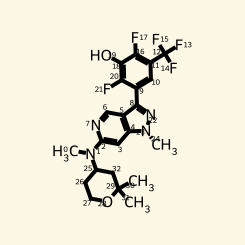 CN(c1cc2c(cn1)c(-c1cc(C(F)(F)F)c(F)c(O)c1F)nn2C)C1CCOC(C)(C)C1